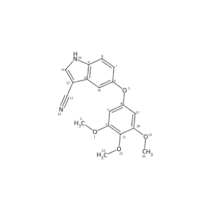 COc1cc(Oc2ccc3[nH]cc(C#N)c3c2)cc(OC)c1OC